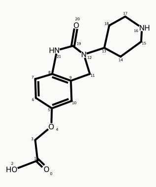 O=C(O)COc1ccc2c(c1)CN(C1CCNCC1)C(=O)N2